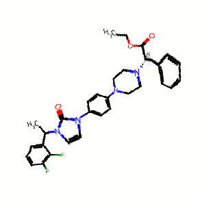 CCOC(=O)[C@H](c1ccccc1)N1CCN(c2ccc(-n3ccn(C(C)c4cccc(F)c4F)c3=O)cc2)CC1